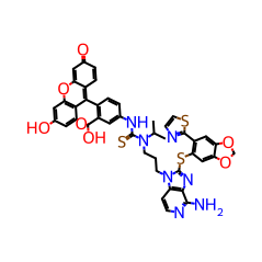 CC(C)N(CCCn1c(Sc2cc3c(cc2-c2nccs2)OCO3)nc2c(N)nccc21)C(=S)Nc1ccc(-c2c3ccc(=O)cc-3oc3cc(O)ccc23)c(C(=O)O)c1